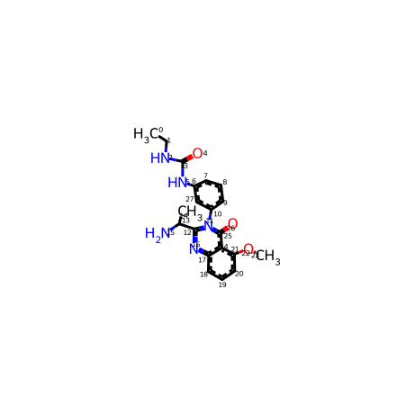 CCNC(=O)Nc1cccc(-n2c(C(C)N)nc3cccc(OC)c3c2=O)c1